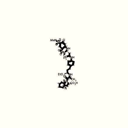 CCOC(=O)[C@H](CCc1ccc(NC(=O)C[C@H]2Nc3cc(Cl)c(S(=O)(=O)NC)cc3S(=O)(=O)N2C)cc1)NC(C)C(=O)N1[C@@H]2CCCC[C@@H]2C[C@H]1C(=O)O